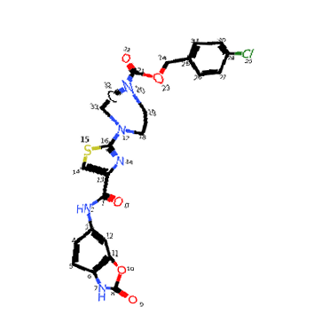 O=C(Nc1ccc2[nH]c(=O)oc2c1)c1csc(N2CCN(C(=O)OCc3ccc(Cl)cc3)CC2)n1